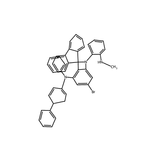 CNc1ccccc1N1c2cc(Br)cc(N(C3=CCC(c4ccccc4)C=C3)c3ccccc3)c2C12c1ccccc1-c1ccccc12